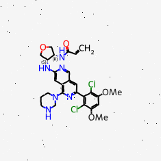 C=CC(=O)N[C@H]1COC[C@H]1Nc1cc2c(N3CCCNC3)nc(-c3c(Cl)c(OC)cc(OC)c3Cl)cc2cn1